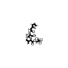 CC1=CS[C@H]2C(NC(=O)Cc3cccs3)C(=O)N2C1C(=O)OCC(Cl)(Cl)Cl